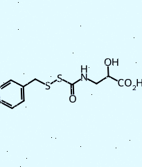 O=C(NCC(O)C(=O)O)SSCc1ccccc1